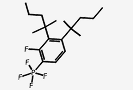 CCCC(C)(C)c1ccc(P(F)(F)(F)F)c(F)c1C(C)(C)CCC